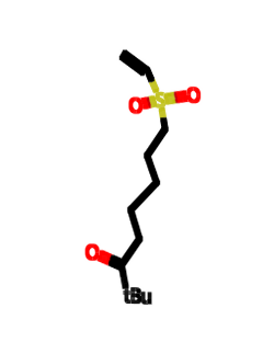 C=CS(=O)(=O)CCCCCC(=O)C(C)(C)C